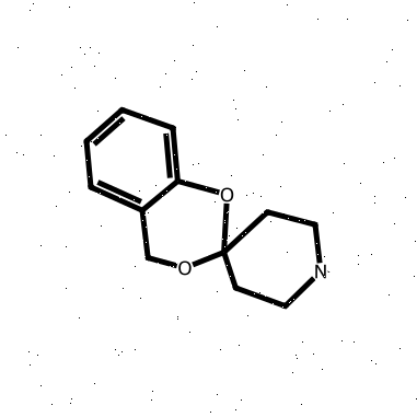 c1ccc2c(c1)COC1(CC[N]CC1)O2